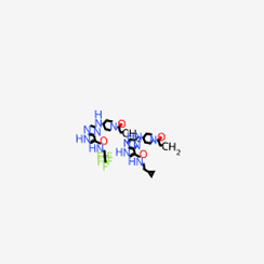 C=CC(=O)N1CCC(Nc2cnc3[nH]cc(C(=O)NCC(F)(F)C(F)(F)F)c3n2)CC1.C=CC(=O)N1CCC(Nc2cnc3[nH]cc(C(=O)NCCC4CC4)c3n2)CC1